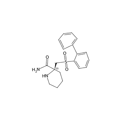 NC(=O)[C@]1([CH]S(=O)(=O)c2ccccc2-c2ccccc2)CCCCN1